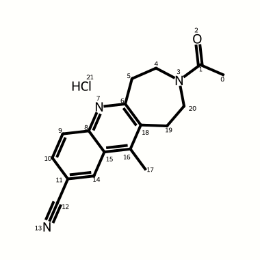 CC(=O)N1CCc2nc3ccc(C#N)cc3c(C)c2CC1.Cl